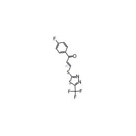 O=C(/C=C/Sc1nnc(C(F)(F)F)s1)c1ccc(F)cc1